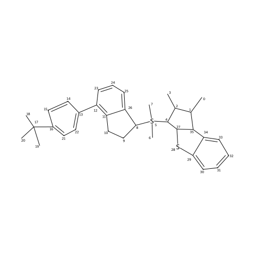 CC1C(C)C(S(C)(C)C2CCc3c(-c4ccc(C(C)(C)C)cc4)cccc32)C2Sc3ccccc3C12